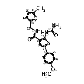 COc1ccc(-c2cc(C(=O)NCc3ccc(C)o3)c(NC(N)=O)s2)cc1